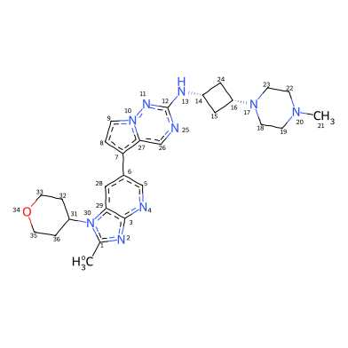 Cc1nc2ncc(-c3ccn4nc(N[C@H]5C[C@@H](N6CCN(C)CC6)C5)ncc34)cc2n1C1CCOCC1